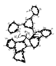 CC1(C)c2c(c3ccccc3c3ccccc23)-c2ccc3c4ccccc4n(-c4cc(-c5ccccn5)nc(-c5ccccn5)c4)c3c21